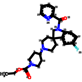 CCOC(=O)N1CCC(N2CCC3(CC2)CN(C(=O)c2ccccn2)c2ccc(F)cc23)CC1